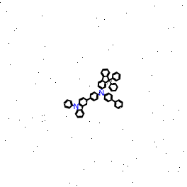 C1=CC([C@]2(c3ccccc3)c3ccccc3-c3ccc(N(c4ccc(-c5ccccc5)cc4)c4ccc(C5C=Cc6c(c7ccccc7n6-c6ccccc6)C5)cc4)cc32)=CCC1